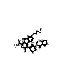 COCCOc1ccc2c(c1)[nH]c1c(C(N)=O)nc(C)c(-c3cccc(-n4cnc5ccccc5c4=O)c3C)c12